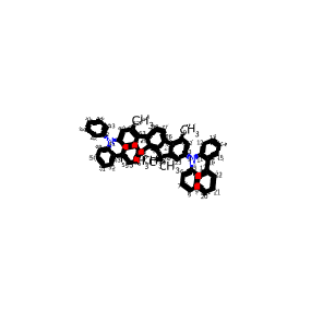 Cc1cc(N(c2ccccc2)c2ccccc2-c2ccccc2)cc2c1-c1ccc3c(c1C2(C)C)C(C)(C)c1cc(N(c2ccccc2)c2ccccc2-c2ccccc2)cc(C)c1-3